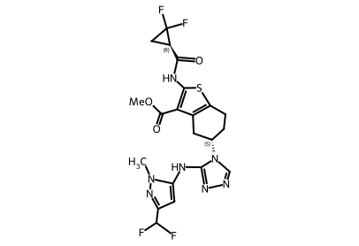 COC(=O)c1c(NC(=O)[C@H]2CC2(F)F)sc2c1C[C@@H](n1cnnc1Nc1cc(C(F)F)nn1C)CC2